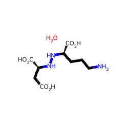 NCCC[C@@H](NN[C@@H](CC(=O)O)C(=O)O)C(=O)O.O